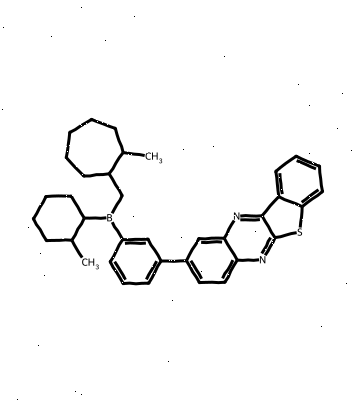 CC1CCCCCC1CB(c1cccc(-c2ccc3nc4sc5ccccc5c4nc3c2)c1)C1CCCCC1C